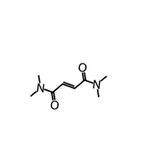 CN(C)C(=O)/C=C/C(=O)N(C)C